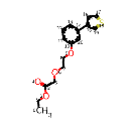 CCOC(=O)COCCOc1cccc(-c2ccsc2)c1